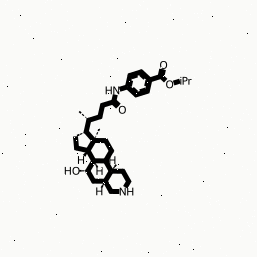 CC(C)OC(=O)c1ccc(NC(=O)CC[C@@H](C)[C@H]2CC[C@H]3[C@@H]4[C@@H](O)C[C@@H]5CNCC[C@]5(C)[C@H]4CC[C@]23C)cc1